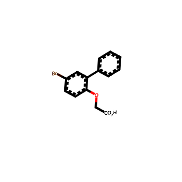 O=C(O)COc1ccc(Br)cc1-c1ccccc1